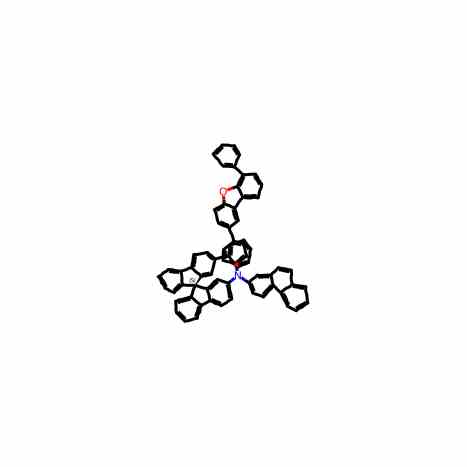 c1ccc(-c2ccc3c(c2)[C@]2(c4ccccc4-3)c3ccccc3-c3ccc(N(c4ccc(-c5ccc6oc7c(-c8ccccc8)cccc7c6c5)cc4)c4ccc5c(ccc6ccccc65)c4)cc32)cc1